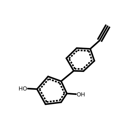 C#Cc1ccc(-c2cc(O)ccc2O)cc1